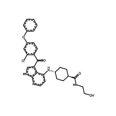 O=C(c1ccc(Oc2ccccc2)cc1Cl)c1c[nH]c2nccc(N[C@H]3CC[C@H](C(=O)NCCO)CC3)c12